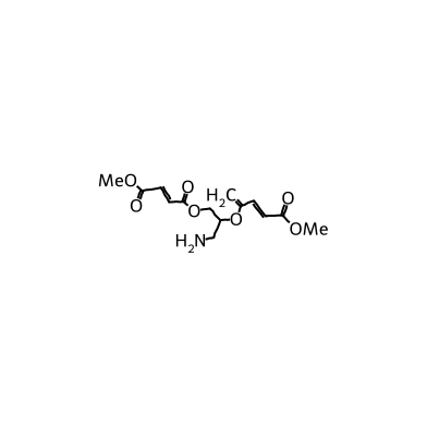 C=C(/C=C/C(=O)OC)OC(CN)COC(=O)/C=C/C(=O)OC